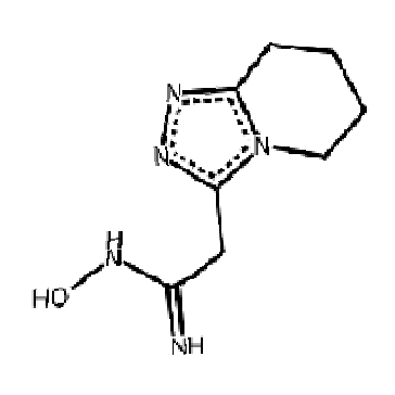 N=C(Cc1nnc2n1CCCC2)NO